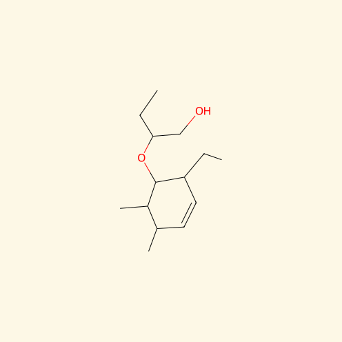 CCC(CO)OC1C(CC)C=CC(C)C1C